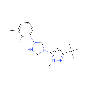 Cc1cccc(N2CN(c3cc(C(C)(C)C)nn3C)CN2)c1C